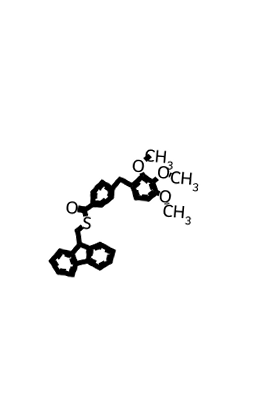 COc1ccc(Cc2ccc(C(=O)SCC3c4ccccc4-c4ccccc43)cc2)c(OC)c1OC